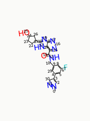 Cn1cc(-c2cc(F)cc(CNC(=O)c3ncnc4nc(C5CCC(O)C5)[nH]c34)c2)cn1